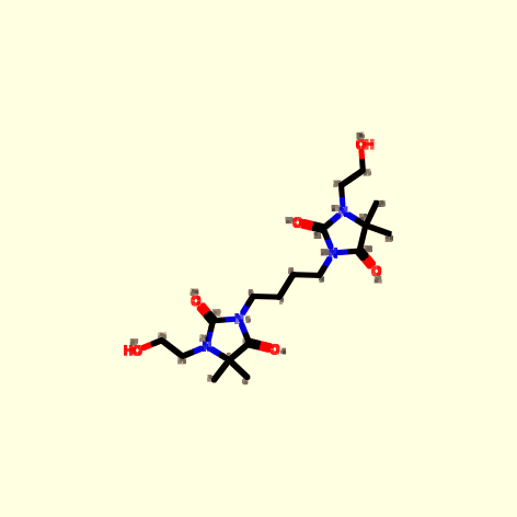 CC1(C)C(=O)N(CCCCN2C(=O)N(CCO)C(C)(C)C2=O)C(=O)N1CCO